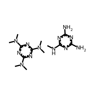 CN(C)c1nc(N(C)C)nc(N(C)C)n1.CNc1nc(N)nc(N)n1